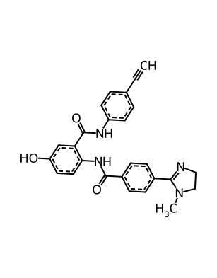 C#Cc1ccc(NC(=O)c2cc(O)ccc2NC(=O)c2ccc(C3=NCCN3C)cc2)cc1